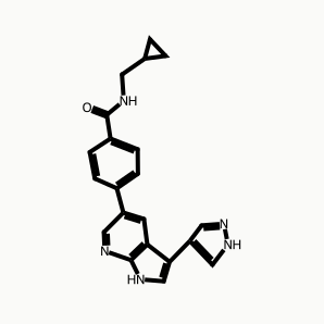 O=C(NCC1CC1)c1ccc(-c2cnc3[nH]cc(-c4cn[nH]c4)c3c2)cc1